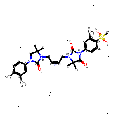 CC1(C)CN(c2ccc(C#N)c(C(F)(F)F)c2)C(=O)N1C/C=C\CN1C(=O)N(c2ccc(S(C)(=O)=O)c(C(F)(F)F)c2)C(=O)C1(C)C